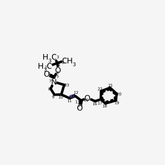 CC(C)(C)OC(=O)N1CCC(/C=C/C(=O)OCc2ccccc2)C1